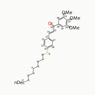 CCCCCCCCCCCCCCCCCCSc1ccc(C=CC(=O)c2cc(OC)c(OC)c(OC)c2)cc1